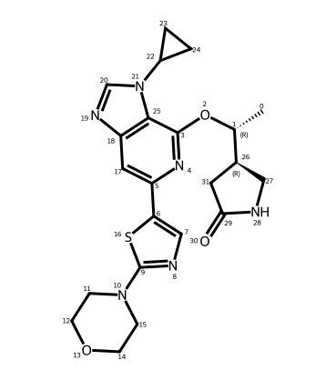 C[C@@H](Oc1nc(-c2cnc(N3CCOCC3)s2)cc2ncn(C3CC3)c12)[C@H]1CNC(=O)C1